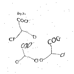 O=C([O-])C(Cl)Cl.O=C([O-])C(Cl)Cl.O=C([O-])C(Cl)Cl.[In+3]